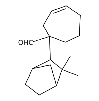 CC1(C)C2CCC(C2)C1C1(C=O)CC=CCCC1